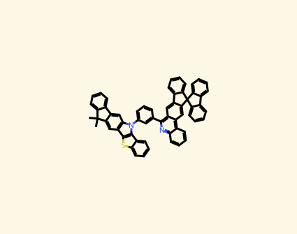 CC1(C)c2ccccc2-c2cc3c(cc21)c1sc2ccccc2c1n3-c1cccc(-c2nc3ccccc3c3cc4c(cc23)-c2ccccc2C42c3ccccc3-c3ccccc32)c1